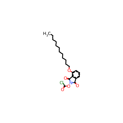 CCCCCCCCCCCCOc1cccc2c1C(=O)N(OC(=O)Cl)C2=O